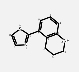 c1cc2c(c(-c3nccs3)c1)CCCN2